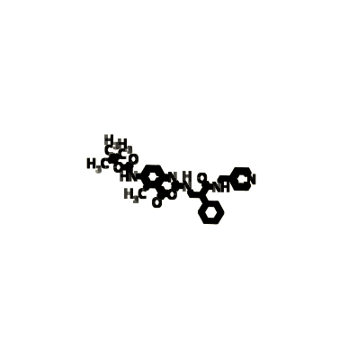 Cc1c(NC(=O)OC(C)(C)C)ccc2nc(NCC(C(=O)NCc3ccncc3)C3CCCCC3)oc(=O)c12